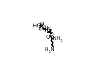 NCCCC[C@H](N)C(=O)Oc1cnn(COP(=O)(O)O)c1